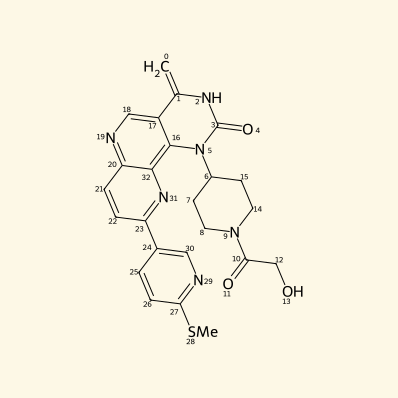 C=C1NC(=O)N(C2CCN(C(=O)CO)CC2)c2c1cnc1ccc(-c3ccc(SC)nc3)nc21